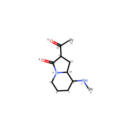 CC(C)NC1CCCN2C(=O)C(C(=O)C(C)C)CC12